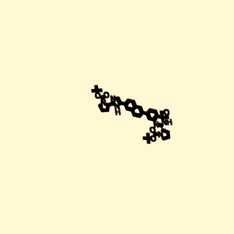 CC(C)(C)OC(=O)N1CCCC1c1ncc(-c2ccc3cc(-c4ccc5c(c4)N=C([C@@H]4CCCN4C(=O)OC(C)(C)C)NC54COC4)ccc3c2)[nH]1